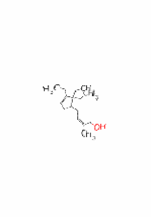 CCC1=CCC(CC=C(C)CO)C1(CC)CC